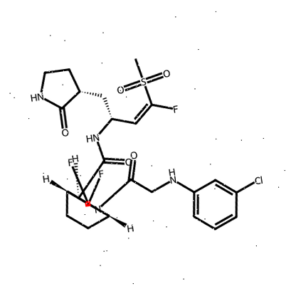 CS(=O)(=O)/C(F)=C\[C@@H](C[C@H]1CCNC1=O)NC(=O)[C@@H]1[C@H]2CC[C@H](CC2(F)F)N1C(=O)CNc1cccc(Cl)c1